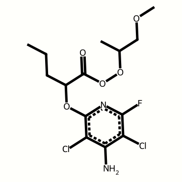 CCCC(Oc1nc(F)c(Cl)c(N)c1Cl)C(=O)OOC(C)COC